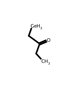 CCC(=O)[CH2][GeH3]